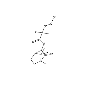 CC12CCC(C(OC(=O)C(F)(F)OOS)C1=O)C2(C)C